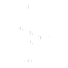 Oc1cccc(-c2nc(N3CCOCC3)nc3c2CCN3c2ccc(Cl)cc2)c1